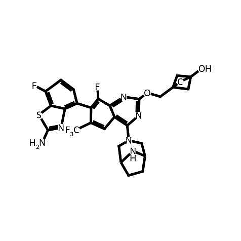 Nc1nc2c(-c3c(C(F)(F)F)cc4c(N5CC6CCC(C5)N6)nc(OCC56CC(O)(C5)C6)nc4c3F)ccc(F)c2s1